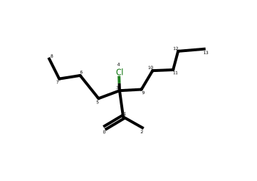 C=C(C)C(Cl)(CCCC)CCCCC